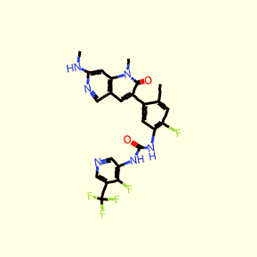 CNc1cc2c(cn1)cc(-c1cc(NC(=O)Nc3cncc(C(F)(F)F)c3F)c(F)cc1C)c(=O)n2C